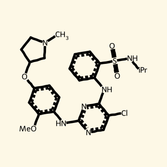 COc1cc(OC2CCN(C)C2)ccc1Nc1ncc(Cl)c(Nc2ccccc2S(=O)(=O)NC(C)C)n1